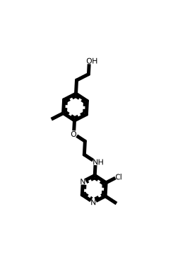 Cc1cc(CCO)ccc1OCCNc1ncnc(C)c1Cl